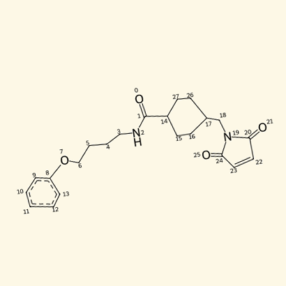 O=C(NCCCCOc1ccccc1)C1CCC(CN2C(=O)C=CC2=O)CC1